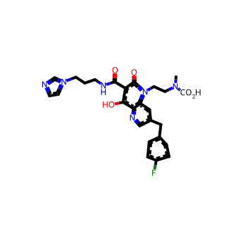 CN(CCn1c(=O)c(C(=O)NCCCn2ccnc2)c(O)c2ncc(Cc3ccc(F)cc3)cc21)C(=O)O